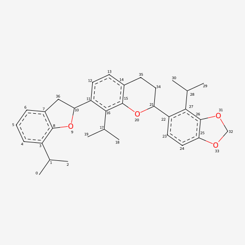 CC(C)c1cccc2c1OC(c1ccc3c(c1C(C)C)OC(c1ccc4c(c1C(C)C)OCO4)CC3)C2